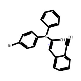 C#Cc1ccccc1/C=C(\C)N(c1ccccc1)c1ccc(Br)cc1